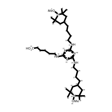 CON1C(C)(C)CC(CCCCNc2nc(NCCCCCC(=O)O)nc(NCCCCC3CC(C)(C)N(OC)C(C)(C)C3)n2)CC1(C)C